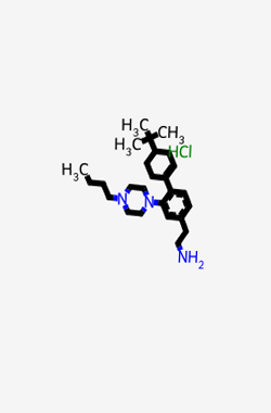 CCCCN1CCN(c2cc(CCN)ccc2C2=CCC(C(C)(C)C)CC2)CC1.Cl